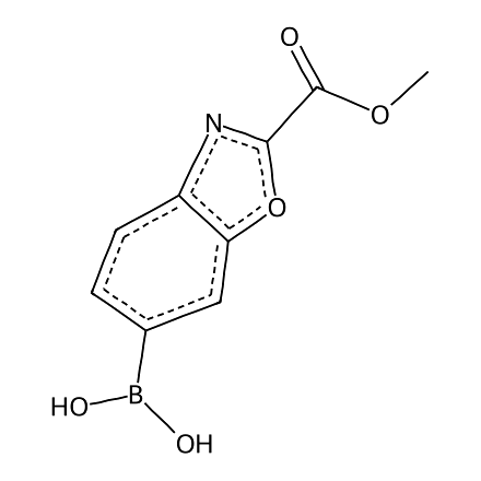 COC(=O)c1nc2ccc(B(O)O)cc2o1